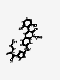 COn1c(=O)c(-c2c(Cl)cccc2Cl)cc2cnc(Nc3csc(C(=O)N(C)CCO)c3)nc21